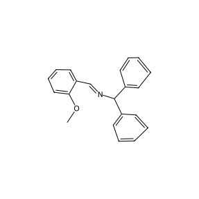 COc1ccccc1C=NC(c1ccccc1)c1ccccc1